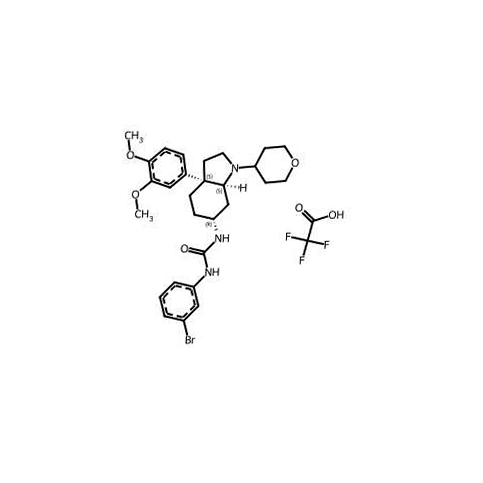 COc1ccc([C@@]23CC[C@@H](NC(=O)Nc4cccc(Br)c4)C[C@@H]2N(C2CCOCC2)CC3)cc1OC.O=C(O)C(F)(F)F